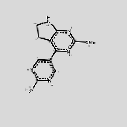 CSc1nc2c(c(-c3cnc(N)nc3)n1)CCN2